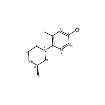 Cc1cc(Cl)nnc1N1CCN[C@H](C)C1